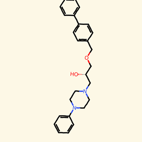 O[C@H](COCc1ccc(-c2ccccc2)cc1)CN1CCN(c2ccccc2)CC1